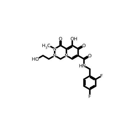 CN1C(=O)c2c(O)c(=O)c(C(=O)NCc3ccc(F)cc3F)cn2CN1CCO